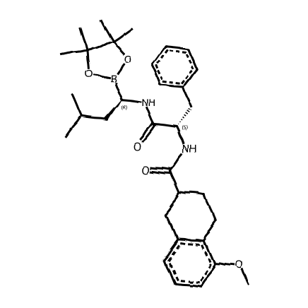 COc1cccc2c1CCC(C(=O)N[C@@H](Cc1ccccc1)C(=O)N[C@@H](CC(C)C)B1OC(C)(C)C(C)(C)O1)C2